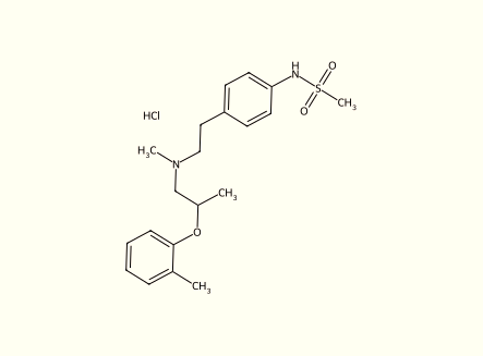 Cc1ccccc1OC(C)CN(C)CCc1ccc(NS(C)(=O)=O)cc1.Cl